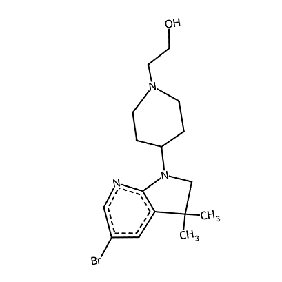 CC1(C)CN(C2CCN(CCO)CC2)c2ncc(Br)cc21